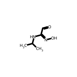 CC(C)NC(C=O)=NO